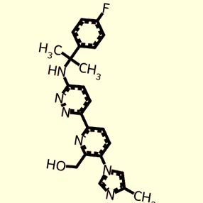 Cc1cn(-c2ccc(-c3ccc(NC(C)(C)c4ccc(F)cc4)nn3)nc2CO)cn1